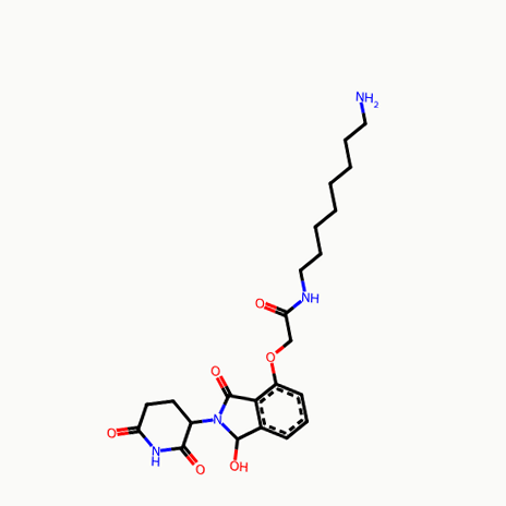 NCCCCCCCCNC(=O)COc1cccc2c1C(=O)N(C1CCC(=O)NC1=O)C2O